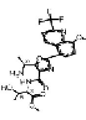 COC(=O)[C@@H](NC(=O)c1nc(-c2ccc(OC)c3nc(C(F)(F)F)ccc23)oc1[C@H](C)N)[C@@H](C)O